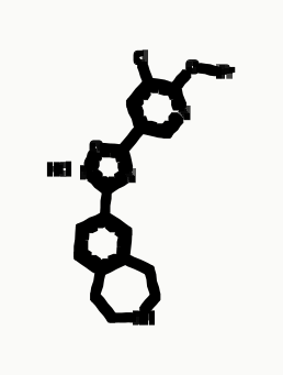 CC(C)Oc1ncc(-c2nc(-c3ccc4c(c3)CCNCC4)no2)cc1Cl.Cl